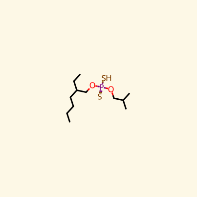 CCCCC(CC)COP(=S)(S)OCC(C)C